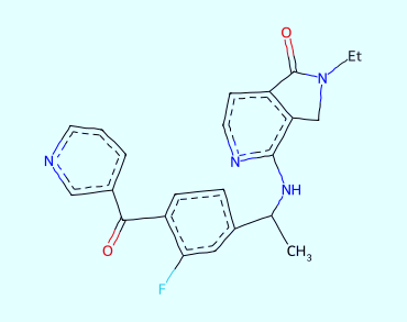 CCN1Cc2c(ccnc2NC(C)c2ccc(C(=O)c3cccnc3)c(F)c2)C1=O